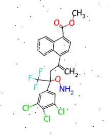 C=C(CC(ON)(c1cc(Cl)c(Cl)c(Cl)c1)C(F)(F)F)c1ccc(C(=O)OC)c2ccccc12